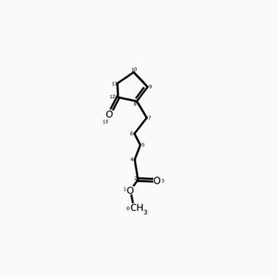 COC(=O)CCCCC1=CCCC1=O